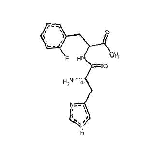 N[C@@H](Cc1c[nH]cn1)C(=O)NC(Cc1ccccc1F)C(=O)O